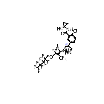 Cn1nc(OCC(F)(F)C(F)(F)C(F)(F)C(F)F)c(C(F)(F)F)c1N/C=C(\C=N)c1ccc(Cl)c(C(=O)NC2(C#N)CC2)c1